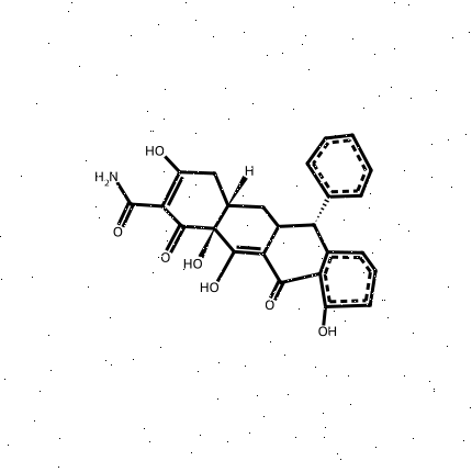 NC(=O)C1=C(O)C[C@@H]2CC3C(=C(O)[C@]2(O)C1=O)C(=O)c1c(O)cccc1[C@H]3c1ccccc1